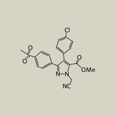 COC(=O)c1c(-c2ccc(Cl)cc2)c(-c2ccc(S(C)(=O)=O)cc2)nn1CC#N